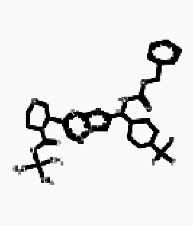 CC(C)(C)OC(=O)N1CCOCC1c1cnn2cc([C@@H](NC(=O)OCc3ccccc3)C3CCC(C(F)(F)F)CC3)nc2n1